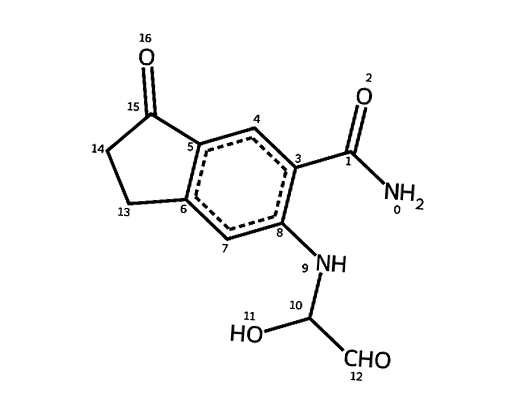 NC(=O)c1cc2c(cc1NC(O)C=O)CCC2=O